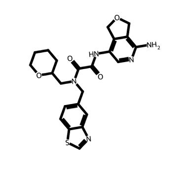 Nc1ncc(NC(=O)C(=O)N(Cc2ccc3scnc3c2)CC2CCCCO2)c2c1COC2